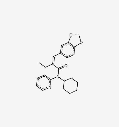 CC/C(=C/c1ccc2c(c1)OCO2)C(=O)N(c1ccccn1)C1CCCCC1